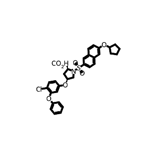 O=C(O)[C@@H]1C[C@H](Oc2ccc(Cl)c(Oc3ccccc3)c2)CN1S(=O)(=O)c1ccc2cc(OC3CCCC3)ccc2c1